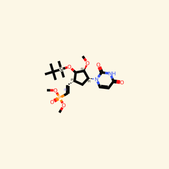 CO[C@@H]1C(O[Si](C)(C)C(C)(C)C)[C@@H](/C=C/P(=O)(OC)OC)C[C@H]1n1ccc(=O)[nH]c1=O